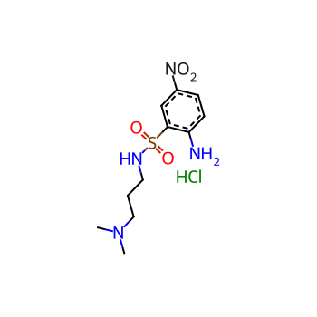 CN(C)CCCNS(=O)(=O)c1cc([N+](=O)[O-])ccc1N.Cl